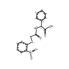 O=C(CSc1ccccc1[N+](=O)[O-])NC(C(=O)O)c1ccccc1